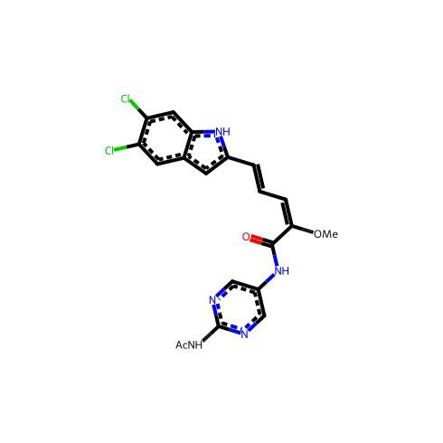 COC(=CC=Cc1cc2cc(Cl)c(Cl)cc2[nH]1)C(=O)Nc1cnc(NC(C)=O)nc1